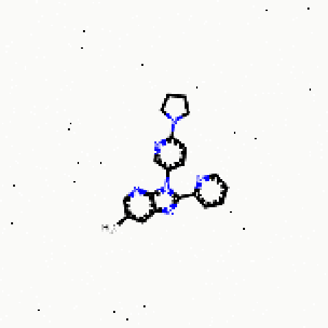 Cc1cnc2c(c1)nc(-c1ccccn1)n2-c1ccc(N2CCCC2)nc1